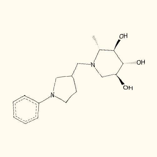 C[C@@H]1[C@@H](O)[C@H](O)[C@@H](O)CN1CC1CCN(c2ccccc2)C1